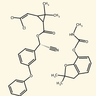 CC1(C)C(C=C(Cl)Cl)C1C(=O)O[C@H](C#N)c1cccc(Oc2ccccc2)c1.CNC(=O)Oc1cccc2c1OC(C)(C)C2